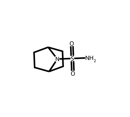 NS(=O)(=O)N1C2CCC1CC2